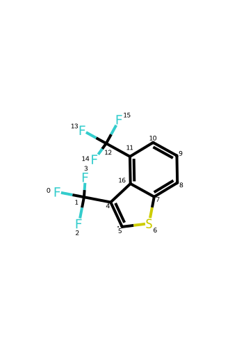 FC(F)(F)c1[c]sc2cccc(C(F)(F)F)c12